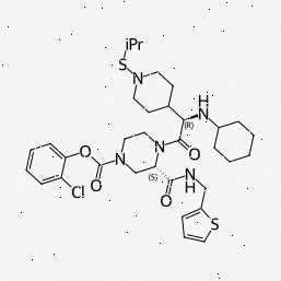 CC(C)SN1CCC([C@@H](NC2CCCCC2)C(=O)N2CCN(C(=O)Oc3ccccc3Cl)C[C@H]2C(=O)NCc2cccs2)CC1